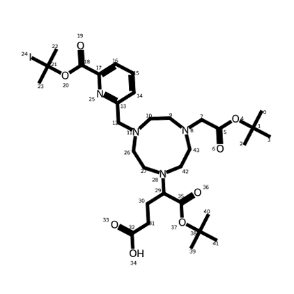 CC(C)(C)OC(=O)CN1CCN(Cc2cccc(C(=O)OC(C)(C)I)n2)CCN(C(CCC(=O)O)C(=O)OC(C)(C)C)CC1